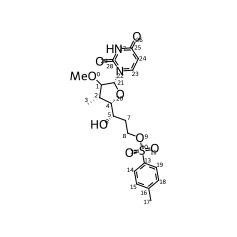 COC1[C@@H](C)[C@@H]([C@@H](O)CCOS(=O)(=O)c2ccc(C)cc2)O[C@H]1n1ccc(=O)[nH]c1=O